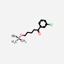 CC(C)(C)[Si](C)(C)OCCCCC(=O)c1cccc(Cl)c1